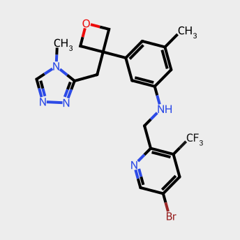 Cc1cc(NCc2ncc(Br)cc2C(F)(F)F)cc(C2(Cc3nncn3C)COC2)c1